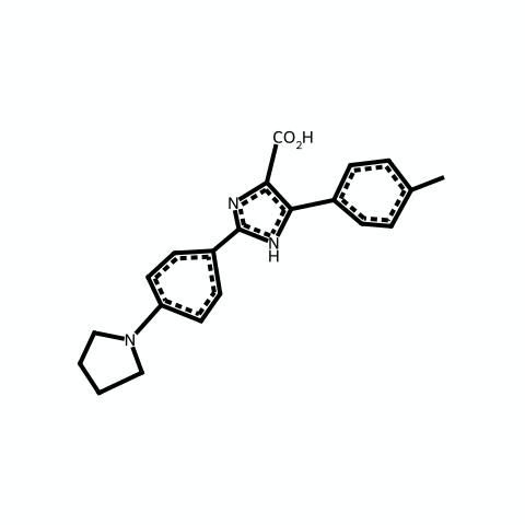 Cc1ccc(-c2[nH]c(-c3ccc(N4CCCC4)cc3)nc2C(=O)O)cc1